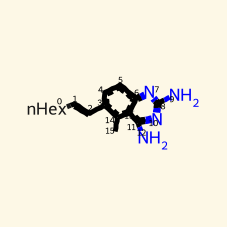 CCCCCCC=Cc1ccc2nc(N)nc(N)c2c1C